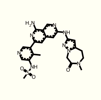 Cc1c(NS(C)(=O)=O)cncc1-c1cc2cc(Nc3cc4n(n3)CC(=O)N(C)CC4)ncc2c(N)n1